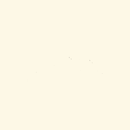 CN(C)S(=O)(=O)NOC(=O)CC(=O)O